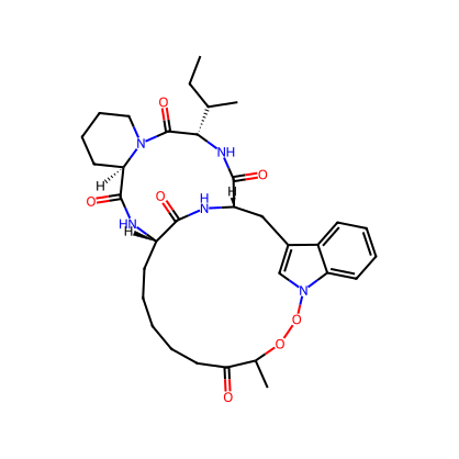 CCC(C)[C@@H]1NC(=O)[C@@H]2Cc3cn(c4ccccc34)OOC(C)C(=O)CCCCC[C@H](NC(=O)[C@H]3CCCCN3C1=O)C(=O)N2